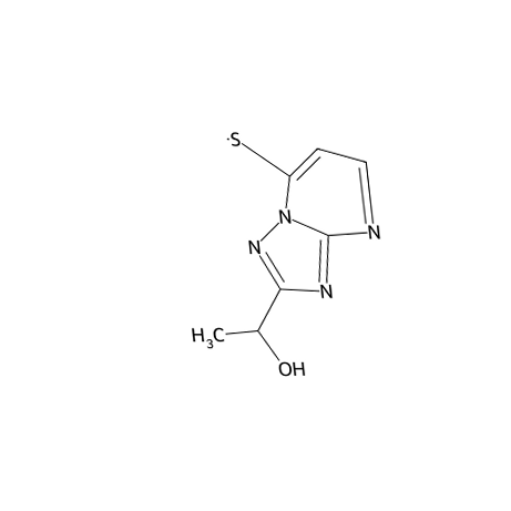 CC(O)c1nc2nccc([S])n2n1